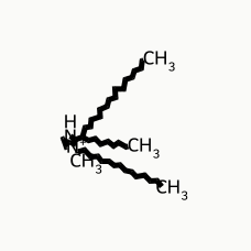 CCCCCCCCCCCCCCCCC(CCCCCCCC)c1[nH]cc[n+]1C(C)CCCCCCCCCCCCCC